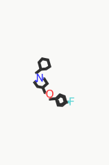 Fc1ccc(COCC2CCN(CC3CCCCC3)CC2)cc1